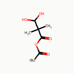 CC(C)(C)C(=O)OC(=O)C(C)(C)C(O)O